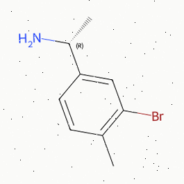 Cc1ccc([C@@H](C)N)cc1Br